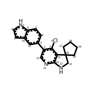 Clc1c(-c2ccc3[nH]ccc3c2)cnc2c1C1(CCCC1)CN2